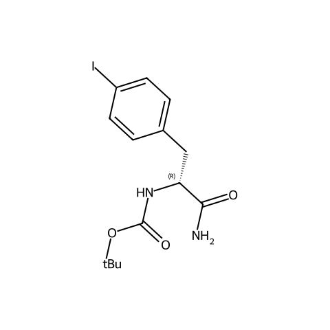 CC(C)(C)OC(=O)N[C@H](Cc1ccc(I)cc1)C(N)=O